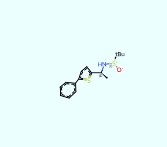 C[C@H](N[S@+]([O-])C(C)(C)C)c1ccc(-c2ccccc2)s1